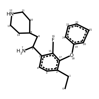 CCc1ccc(C(N)CC2CCNCC2)c(F)c1Oc1ccccc1